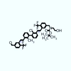 Cc1c(/C=C/c2cc(C=O)ccc2C(F)(F)F)cccc1-c1cccc(/C=C/c2cc(CN(CCO)C(=O)OC(C)(C)C)ccc2C(F)(F)F)c1Cl